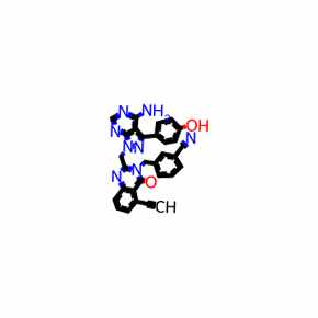 C#Cc1cccc2nc(Cn3nc(-c4ccc(O)cc4)c4c(N)ncnc43)n(Cc3cccc(C#N)c3)c(=O)c12